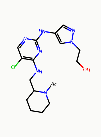 CC(=O)N1CCCCC1CNc1nc(Nc2cnn(CCO)c2)ncc1Cl